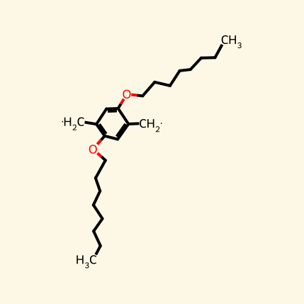 [CH2]c1cc(OCCCCCCCC)c([CH2])cc1OCCCCCCCC